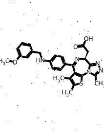 COc1cccc(CNc2ccc(C3=N[C@@H](CC(=O)O)c4nnc(C)n4-c4sc(C)c(C)c43)cc2)c1